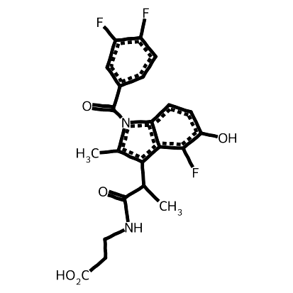 Cc1c(C(C)C(=O)NCCC(=O)O)c2c(F)c(O)ccc2n1C(=O)c1ccc(F)c(F)c1